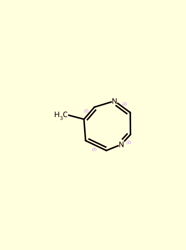 CC1=C/N=C\C=N/C=C\1